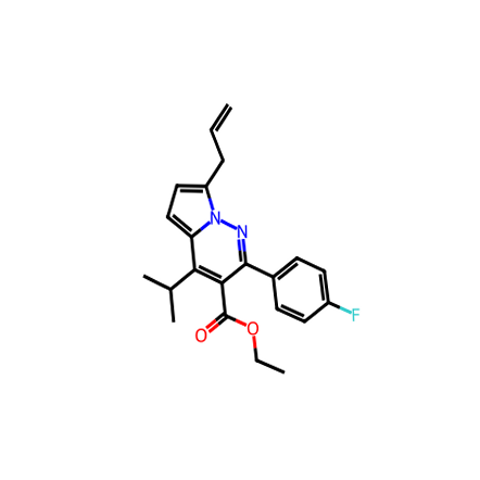 C=CCc1ccc2c(C(C)C)c(C(=O)OCC)c(-c3ccc(F)cc3)nn12